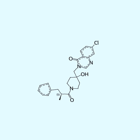 C[C@@H](Cc1ccccc1)C(=O)N1CCC(O)(Cn2cnc3cc(Cl)ccc3c2=O)CC1